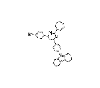 Brc1ccc(-c2cc(-c3ccc(-n4c5ccccc5c5ccccc54)cc3)nc(C3=CCC=CC=C3)n2)cc1